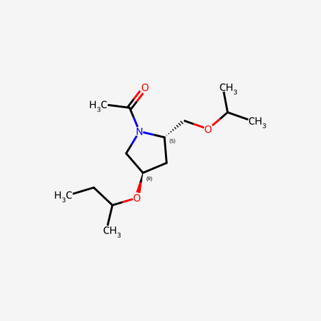 CCC(C)O[C@@H]1C[C@@H](COC(C)C)N(C(C)=O)C1